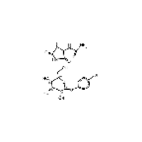 NC(=O)NC1NC(=O)NC1=O.OC[C@H]1O[C@@H](Oc2ccc(O)cc2)[C@H](O)[C@@H](O)[C@@H]1O